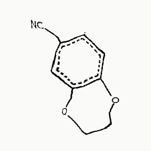 N#Cc1[c]cc2c(c1)OCCO2